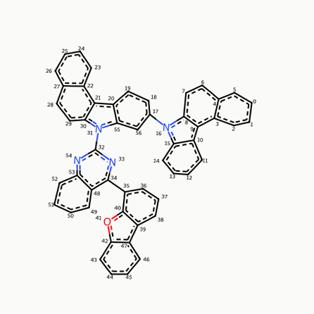 c1ccc2c(c1)ccc1c2c2ccccc2n1-c1ccc2c3c4ccccc4ccc3n(-c3nc(-c4cccc5c4oc4ccccc45)c4ccccc4n3)c2c1